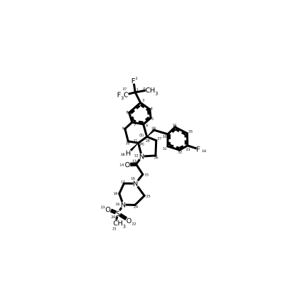 CC(F)(c1ccc2c(c1)CC[C@H]1N(C(=O)CN3CCN(S(C)(=O)=O)CC3)CC[C@@]21Cc1ccc(F)cc1)C(F)(F)F